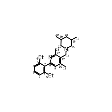 CCc1cccc(CC)c1-c1cc(C)c(CN2CC(C)CC(C)C2)c(C)n1